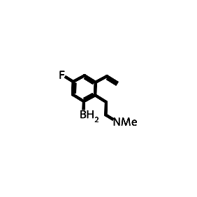 Bc1cc(F)cc(C=C)c1CCNC